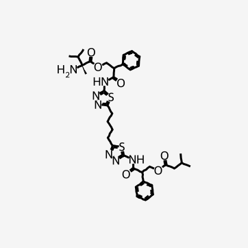 CC(C)CC(=O)OCC(C(=O)Nc1nnc(CCCCc2nnc(NC(=O)C(COC(=O)[C@](C)(N)C(C)C)c3ccccc3)s2)s1)c1ccccc1